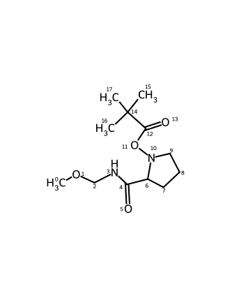 COCNC(=O)C1CCCN1OC(=O)C(C)(C)C